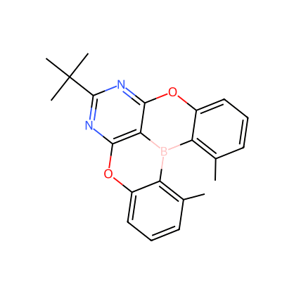 Cc1cccc2c1B1c3c(C)cccc3Oc3nc(C(C)(C)C)nc(c31)O2